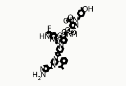 COc1nc2[nH]cc(F)c2cc1Oc1cc(N2CCC3(CC2)CC(N2CCN(Cc4ccnc(N)c4)C[C@H]2c2ccccc2C(C)C)C3)ccc1C(=O)NS(=O)(=O)c1cnc(NCC2CCC(C)(O)CC2)c([N+](=O)[O-])c1